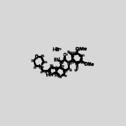 Br.CCN1C(=O)N(c2c(F)c(OC)cc(OC)c2F)Cc2cnc3[nH]c(CN4CCOCC4)cc3c21